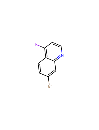 Brc1ccc2c(I)ccnc2c1